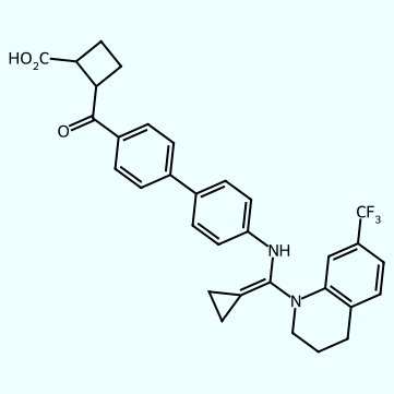 O=C(O)C1CCC1C(=O)c1ccc(-c2ccc(NC(=C3CC3)N3CCCc4ccc(C(F)(F)F)cc43)cc2)cc1